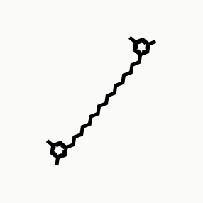 Cc1cc(C)cc(CCCCCCCCCCCCCCCCCc2cc(C)cc(C)c2)c1